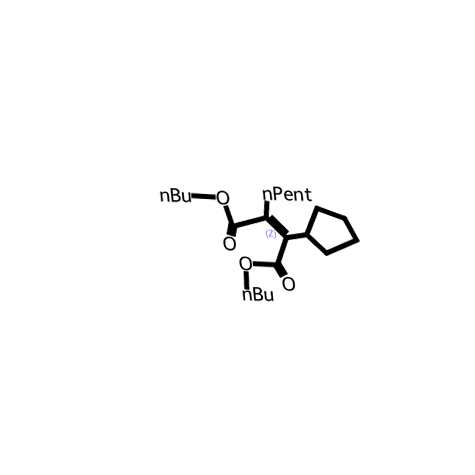 CCCCC/C(C(=O)OCCCC)=C(/C(=O)OCCCC)C1CCCC1